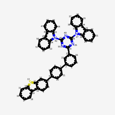 c1cc(-c2ccc(-c3ccc4c(c3)sc3ccccc34)cc2)cc(-c2nc(-n3c4ccccc4c4ccccc43)nc(-n3c4ccccc4c4ccccc43)n2)c1